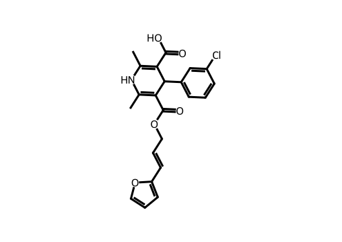 CC1=C(C(=O)O)C(c2cccc(Cl)c2)C(C(=O)OC/C=C/c2ccco2)=C(C)N1